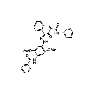 COc1cc(NC(=O)c2ccccc2)c(OC)cc1N/N=C1\C(=O)C(C(=O)Nc2ccccc2)=Cc2ccccc21